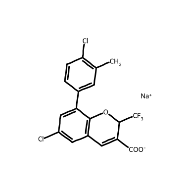 Cc1cc(-c2cc(Cl)cc3c2OC(C(F)(F)F)C(C(=O)[O-])=C3)ccc1Cl.[Na+]